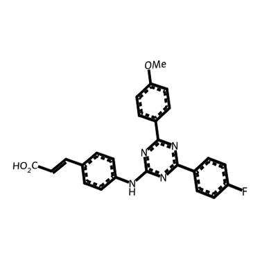 COc1ccc(-c2nc(Nc3ccc(/C=C/C(=O)O)cc3)nc(-c3ccc(F)cc3)n2)cc1